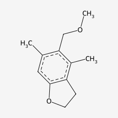 COCc1c(C)cc2c(c1C)CCO2